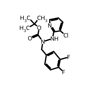 CC(C)(C)OC(=O)N(Cc1ccc(F)c(F)c1)Nc1ncccc1Cl